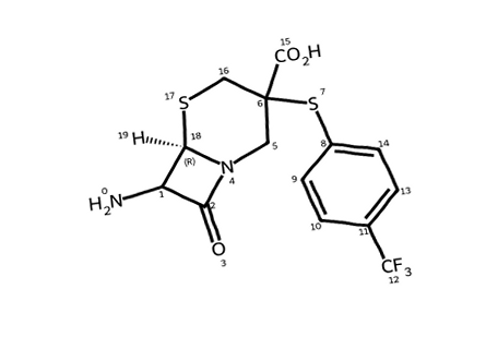 NC1C(=O)N2CC(Sc3ccc(C(F)(F)F)cc3)(C(=O)O)CS[C@H]12